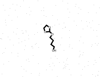 OCCCCOC1OCCO1